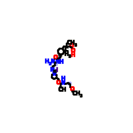 C#CC(NC/C=C\COCC)OCC1CCCN([C@H](I)/N=C\C=C(/N)NC(=O)C[C@H]2CCCC(CC(C)(CC)C3OC3O)CC2)C1